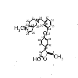 CC#C[C@@H](CC(=O)O)c1ccc(OCc2cccc(CN3CCc4c(ccn4C)C3)c2)cc1